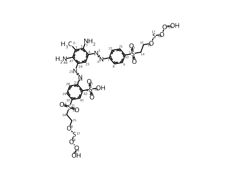 Cc1c(N)c(/N=N/c2ccc(S(=O)(=O)CCOSOOO)cc2)cc(/N=N/c2ccc(S(=O)(=O)CCOSOOO)cc2S(=O)(=O)O)c1N